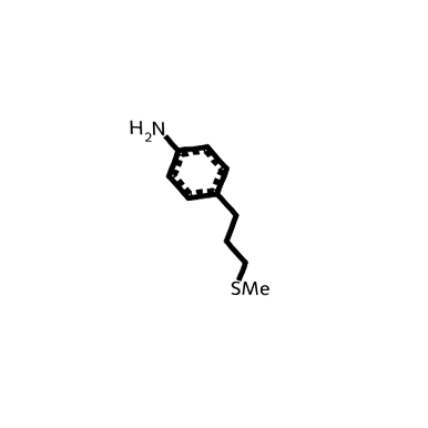 CSCCCc1ccc(N)cc1